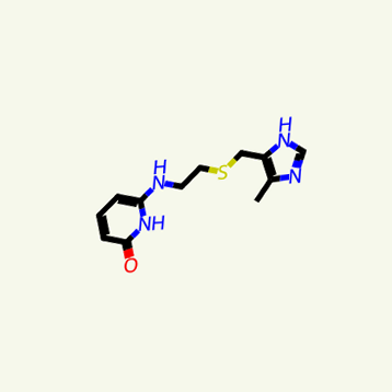 Cc1nc[nH]c1CSCCNc1cccc(=O)[nH]1